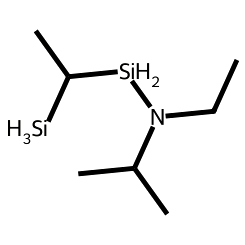 CCN([SiH2]C(C)[SiH3])C(C)C